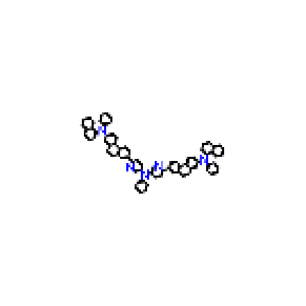 c1ccc(N(c2ccc(-c3ccc4c(ccc5cc(N(c6ccccc6)c6cccc7ccccc67)ccc54)c3)nc2)c2ccc(-c3ccc4c(ccc5cc(N(c6ccccc6)c6cccc7ccccc67)ccc54)c3)nc2)cc1